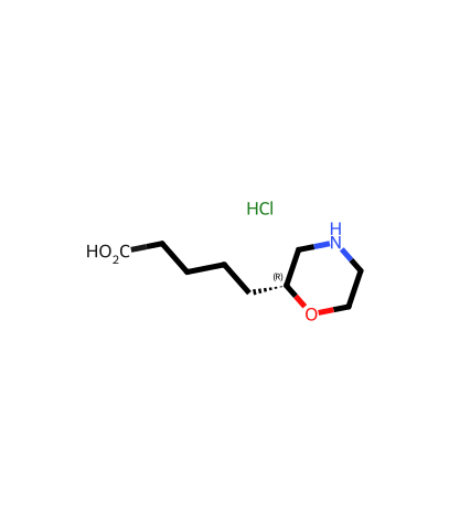 Cl.O=C(O)CCCC[C@@H]1CNCCO1